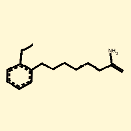 C=C(N)CCCCCCc1ccccc1CC